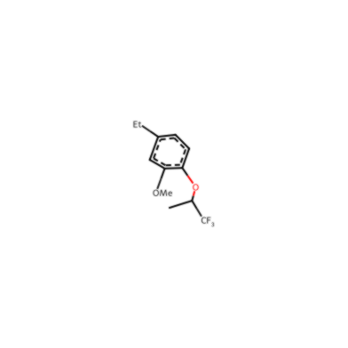 CCc1ccc(OC(C)C(F)(F)F)c(OC)c1